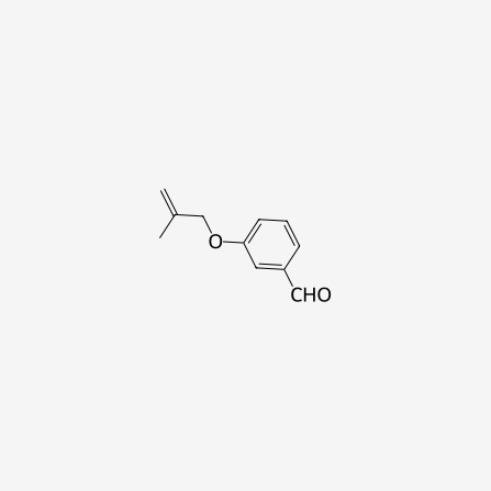 C=C(C)COc1cccc(C=O)c1